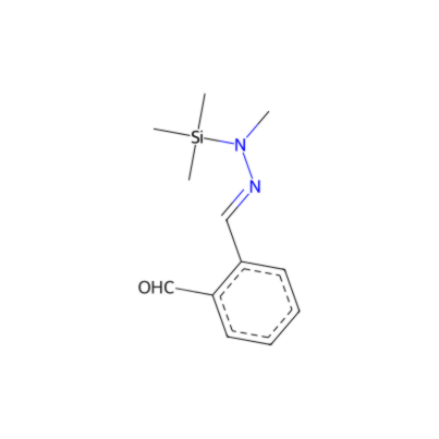 CN(N=Cc1ccccc1C=O)[Si](C)(C)C